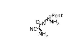 CCCCCN(N)C=NC(=O)C(C#N)=CN